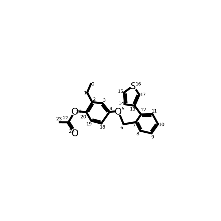 CCc1cc(OCc2ccccc2-c2ccsc2)ccc1OC(C)=O